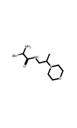 CC[C@H](C)C(N)C(=O)NCC(C)N1CCOCC1